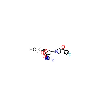 NC(=O)C1(C2(Cc3ccccc3)OC=C(C(=O)O)O2)CCC(CCN2CCC(C(=O)c3ccc(F)cc3)CC2)CC1